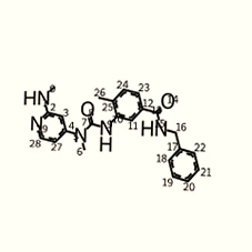 CNc1cc(N(C)C(=O)Nc2cc(C(=O)NCc3ccccc3)ccc2C)ccn1